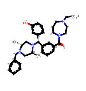 C[C@@H]1CN([C@@H](c2cccc(O)c2)c2cccc(C(=O)N3CCCN(CC(=O)O)CC3)c2)[C@@H](C)CN1Cc1ccccc1